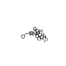 CC(C)(C)OC(=O)NC(COCC=Cc1ccccc1)C(=O)O